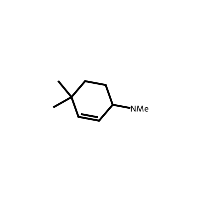 CNC1C=CC(C)(C)CC1